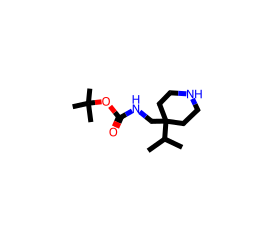 CC(C)C1(CNC(=O)OC(C)(C)C)CCNCC1